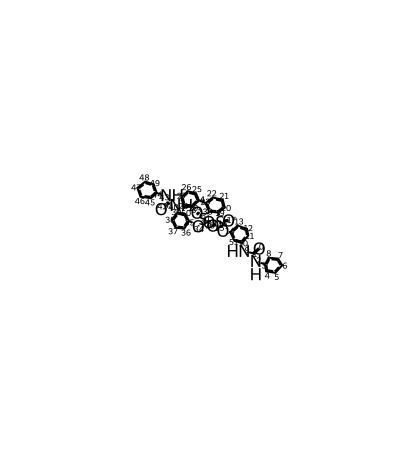 O=C(Nc1ccccc1)Nc1cccc(OS(=O)(=O)c2cccc(-c3ccccc3)c2S(=O)(=O)Oc2cccc(NC(=O)Nc3ccccc3)c2)c1